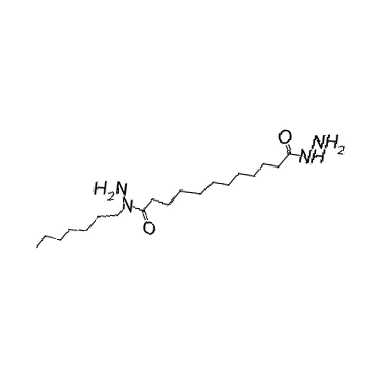 CCCCCCCN(N)C(=O)CCCCCCCCCCC(=O)NN